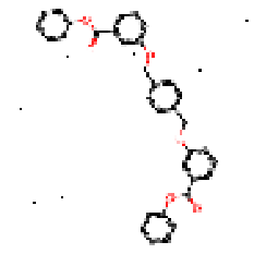 O=C(Oc1ccccc1)c1cccc(OCc2ccc(COc3cccc(C(=O)Oc4ccccc4)c3)cc2)c1